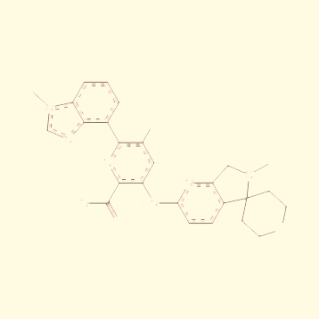 CN1Cc2nc(Nc3cc(C(F)(F)F)c(-c4cccc5c4ncn5C)nc3C(N)=O)ccc2C12CCOCC2